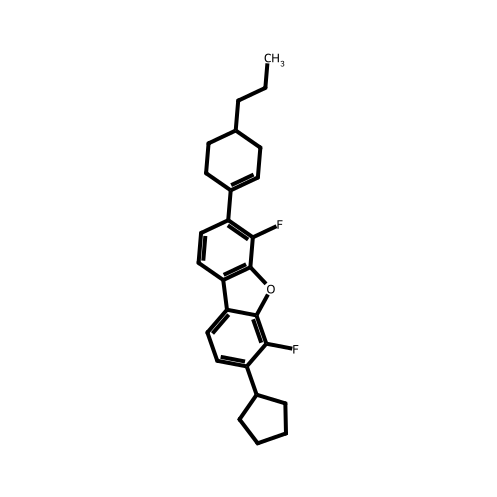 CCCC1CC=C(c2ccc3c(oc4c(F)c(C5CCCC5)ccc43)c2F)CC1